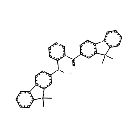 CC1(C)c2ccccc2-c2ccc(C(=O)c3ccccc3C(O)c3ccc4c(c3)C(C)(C)c3ccccc3-4)cc21